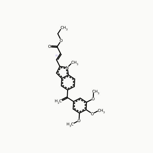 C=C(c1cc(OC)c(OC)c(OC)c1)c1ccc2c(c1)cc(/C=C/C(=O)OCC)n2C